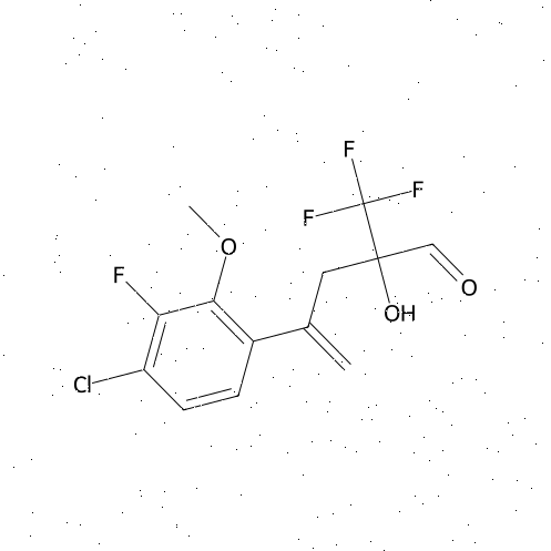 C=C(CC(O)(C=O)C(F)(F)F)c1ccc(Cl)c(F)c1OC